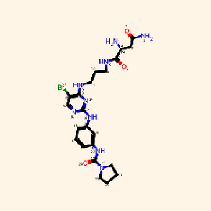 NC(=O)C[C@H](N)C(=O)NCCCNc1nc(Nc2cccc(NC(=O)N3CCCC3)c2)ncc1Br